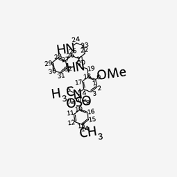 COc1ccc(N(C)S(=O)(=O)c2ccc(C)cc2)cc1CNC1CCCNC1c1ccccc1